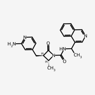 CC(NC(=O)N1C(=O)[C@H](Cc2ccnc(N)c2)[C@H]1C)c1cncc2ccccc12